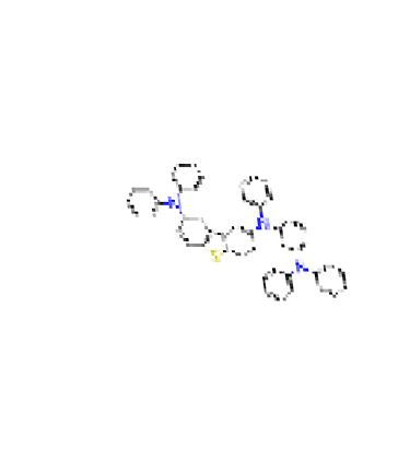 C1=C(N(c2ccccc2)c2cccc(N(c3ccccc3)c3ccccc3)c2)CCc2sc3ccc(N(c4ccccc4)c4ccccc4)cc3c21